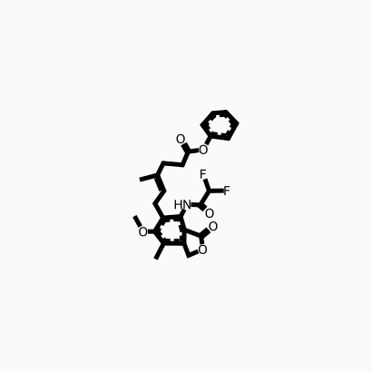 COc1c(C)c2c(c(NC(=O)C(F)F)c1C/C=C(\C)CCC(=O)Oc1ccccc1)C(=O)OC2